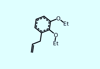 C=CCc1cccc(OCC)c1OCC